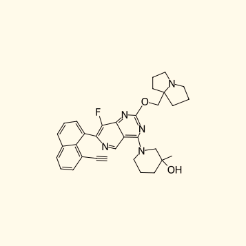 C#Cc1cccc2cccc(-c3ncc4c(N5CCCC(C)(O)C5)nc(OCC56CCCN5CCC6)nc4c3F)c12